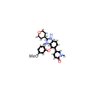 COc1cccc(Oc2c(-c3ccc(=O)n(C)c3)ccc3c2N(C)C(C2CCOCC2)N3)c1